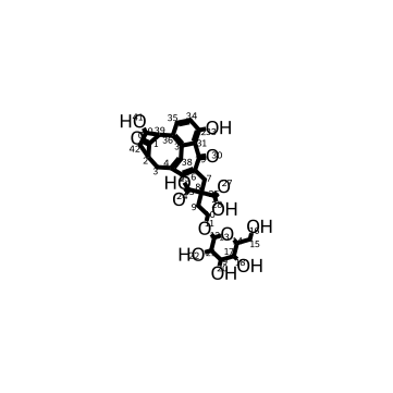 O=C1C2Cc3cc(CC(CCOC4OC(CO)C(O)C(O)C4O)(C(=O)O)C(=O)O)c(=O)c4c(O)ccc(c4c3)C1C(O)C2